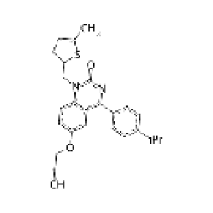 C#CCOc1ccc2c(c1)c(-c1ccc(C(C)C)cc1)nc(=O)n2CC1CC=C(C)S1